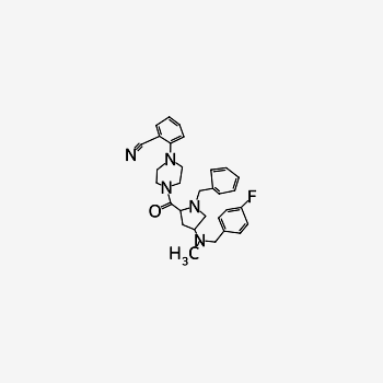 CN(Cc1ccc(F)cc1)C1CC(C(=O)N2CCN(c3ccccc3C#N)CC2)N(Cc2ccccc2)C1